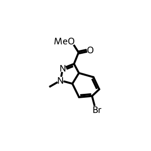 COC(=O)C1=NN(C)C2C=C(Br)C=CC12